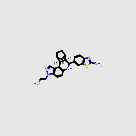 Nc1nc2ccc(C3Nc4ccc5c(cnn5CCO)c4[C@H]4C5CCC(C5)[C@@H]34)cc2s1